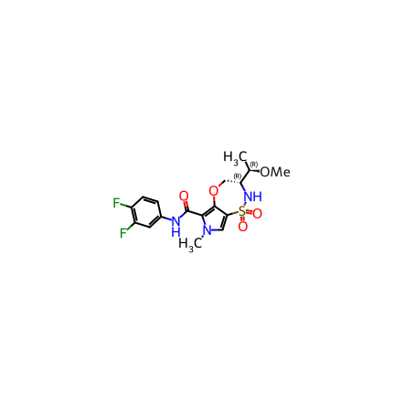 CO[C@H](C)[C@H]1COc2c(cn(C)c2C(=O)Nc2ccc(F)c(F)c2)S(=O)(=O)N1